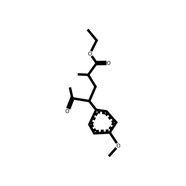 CCOC(=O)C(C)CC(C(C)=O)c1ccc(OC)cc1